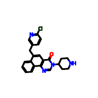 O=c1c2cc(Cc3ccc(Cl)nc3)c3ccccc3c2ncn1C1CCNCC1